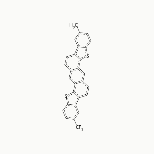 Cc1ccc2sc3c4cc5ccc6c7cc(C(F)(F)F)ccc7sc6c5cc4ccc3c2c1